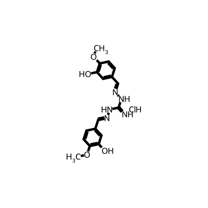 COc1ccc(C=NNC(=N)NN=Cc2ccc(OC)c(O)c2)cc1O.Cl